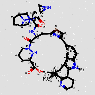 CCn1c(C2=C([C@H](C)OC)N=CCC2)c2c3cc(ccc31)-c1csc(n1)C[C@H](NC(=O)[C@H](C(C)C)N1C3CCC1CN(C(=O)[C@@H]1CN1)C3)C(=O)N1CCC[C@H](N1)C(=O)OCC(C)(C)C2